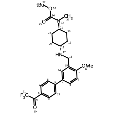 COc1ccc(-c2ccc(C(=O)C(F)(F)F)cc2)cc1CN[C@H]1CC[C@H](N(C)C(=O)OC(C)(C)C)CC1